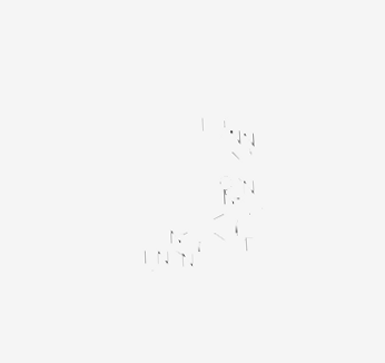 Cn1cc(-c2nc(C3(c4ccc(-c5cnc(N)nc5)cc4F)CCC3)no2)cn1